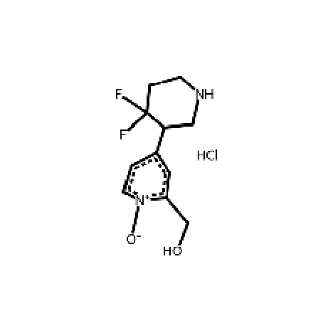 Cl.[O-][n+]1ccc(C2CNCCC2(F)F)cc1CO